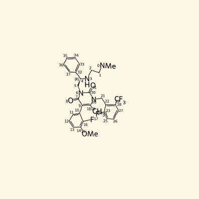 CNCCN[C@@H](Cn1c(=O)c(-c2cccc(OC)c2F)c(C)n(Cc2c(F)cccc2C(F)(F)F)c1=O)c1ccccc1